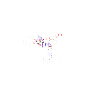 CC[C@]1(O)C[C@H]2CN(CCc3c([nH]c4ccc(CNC(C)C)cc34)[C@@](C(=O)OC)(C3C=C4C(=CC3OC)N(C)[C@@]35O[C@]3(C(=O)OC)[C@H](OC(C)=O)[C@]3(CC)C=CCN6CC[C@]45[C@@H]63)C2)C1